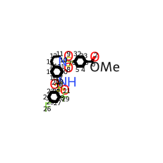 COC(=O)c1ccc(S(=O)(=O)N2CCCc3ccc(NS(=O)(=O)c4ccc(F)cc4F)cc32)cc1